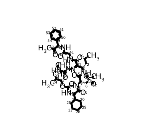 CCC[C@H](NC(=O)[C@H](CS(C)(=O)=O)NC(=O)[C@@H](NC(=O)OCC(C)C)C1CCCCC1)C(=NNC(=O)NC)C(=O)NCC(=O)N[C@H](C(C)=O)c1ccccc1